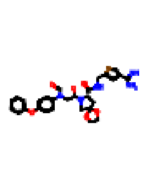 N=C(N)c1csc(CNC(=O)[C@@H]2CC3(CN2C(=O)CN(C=O)c2ccc(Oc4ccccc4)cc2)OCCO3)c1